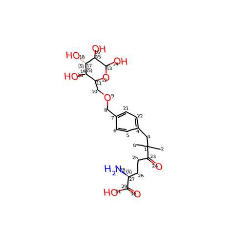 CC(C)(Cc1ccc(COCC2OC(O)C(O)[C@@H](O)[C@@H]2O)cc1)C(=O)CC[C@H](N)C(=O)O